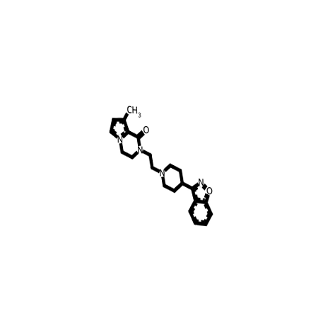 Cc1ccn2c1C(=O)N(CCN1CCC(c3noc4ccccc34)CC1)CC2